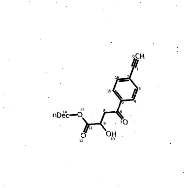 C#Cc1ccc(C(=O)CC(O)C(=O)OCCCCCCCCCC)cc1